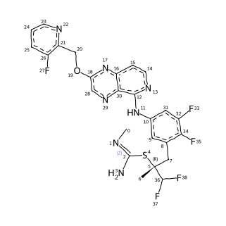 C/N=C(/N)S[C@](C)(Cc1cc(Nc2nccc3nc(OCc4ncccc4F)cnc23)cc(F)c1F)C(F)F